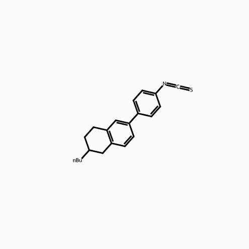 CCCCC1CCc2cc(-c3ccc(N=C=S)cc3)ccc2C1